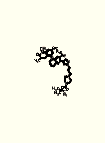 COc1cc(N2CCCc3cc(-c4cnn(CCCN5CCN(C(=O)OC(C)(C)C)CC5)c4)c(C(F)F)cc32)c2cc(C)c(=O)n(C)c2c1